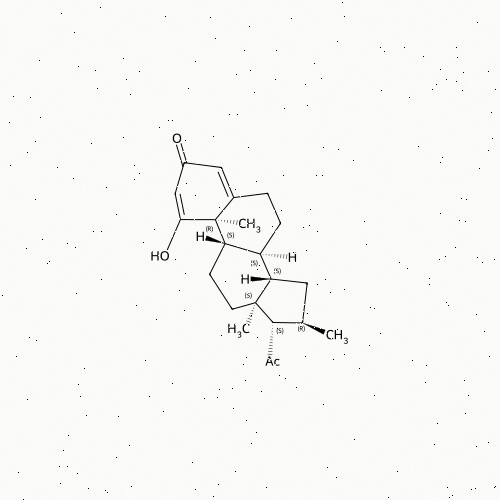 CC(=O)[C@H]1[C@H](C)C[C@H]2[C@@H]3CCC4=CC(=O)C=C(O)[C@]4(C)[C@H]3CC[C@@]21C